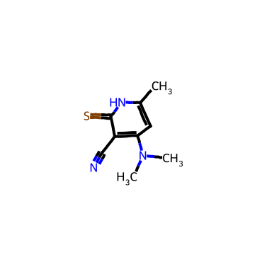 Cc1cc(N(C)C)c(C#N)c(=S)[nH]1